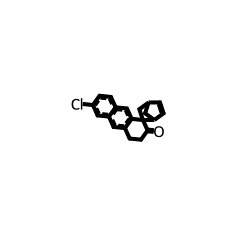 O=C1CCc2cc3cc(Cl)ccc3cc2C12CC1C=CC2C1